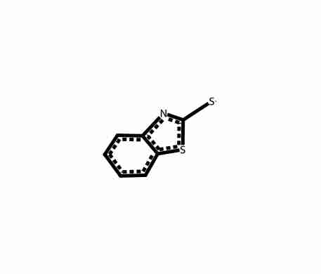 [S]c1nc2ccccc2s1